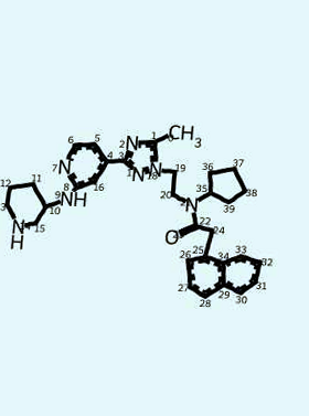 Cc1nc(-c2ccnc(NC3CCCNC3)c2)nn1CCN(C(=O)Cc1cccc2ccccc12)C1CCCC1